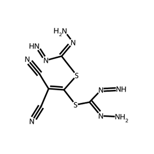 N#CC(C#N)=C(SC(N=N)=NN)SC(N=N)=NN